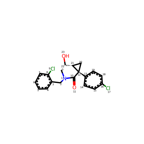 CN(Cc1ccccc1Cl)C(=O)[C@@]1(c2ccc(Cl)cc2)C[C@H]1CO